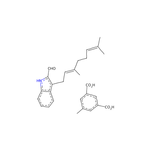 CC(C)=CCC/C(C)=C/Cc1c(C=O)[nH]c2ccccc12.Cc1cc(C(=O)O)cc(C(=O)O)c1